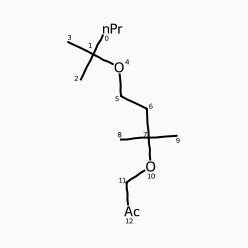 CCCC(C)(C)OCCC(C)(C)OCC(C)=O